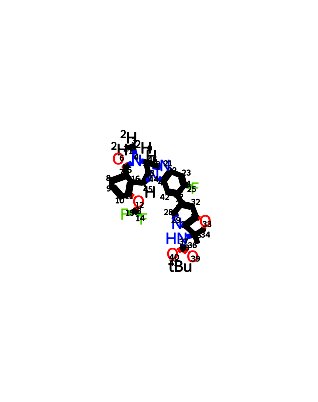 [2H]C([2H])([2H])N1C(=O)c2cccc(OC(F)F)c2[C@H]2C[C@@H]1c1nc3cc(F)c(-c4cnc5c(c4)OCC5(C)NC(=O)OC(C)(C)C)cc3n12